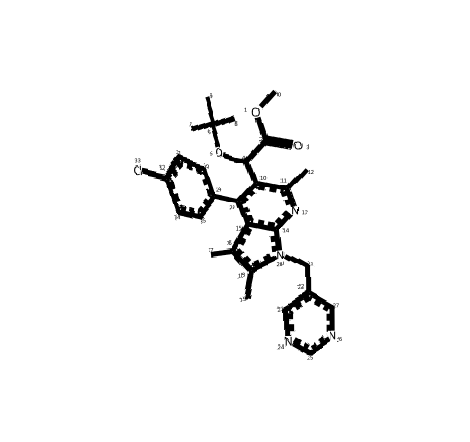 COC(=O)C(OC(C)(C)C)c1c(C)nc2c(c(C)c(C)n2Cc2cncnc2)c1-c1ccc(Cl)cc1